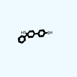 Sc1ccc(C2C=CC(S)(c3ccccc3)C=C2)cc1